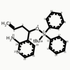 C=CCC(O[Si](c1ccccc1)(c1ccccc1)C(C)(C)C)c1cccnc1N